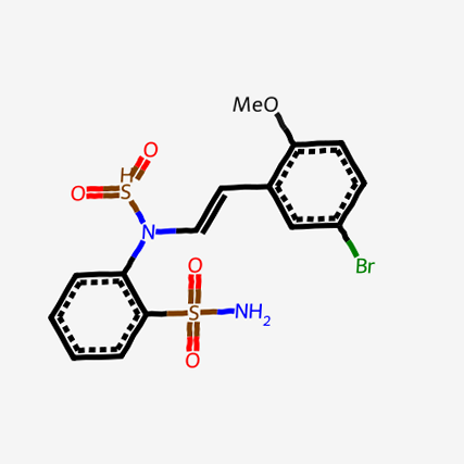 COc1ccc(Br)cc1C=CN(c1ccccc1S(N)(=O)=O)[SH](=O)=O